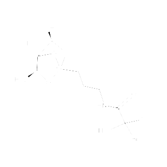 C[C@@H]1O[Si]2(CCCNC(=O)C(C)(C)Br)O[C@@H]1[C@@H](C)O2